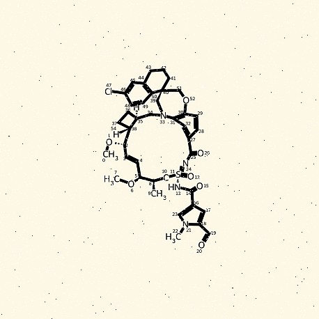 CO[C@H]1/C=C/[C@H](OC)[C@H](C)C[S@@](=O)(NC(=O)c2cc(C=O)n(C)c2)=NC(=O)c2ccc3c(c2)N(C[C@@H]2CC[C@H]21)C[C@@]1(CCCc2cc(Cl)ccc21)CO3